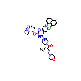 C/C(=C\CN1CCOCC1)C(=O)N1CCN(c2nc(OC[C@@H]3CCCN3C)nc3c2CCN(c2cccc4cccc(Cl)c24)C3)CC1